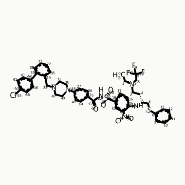 CCN(CC[C@H](CSc1ccccc1)Nc1ccc(S(=O)(=O)NC(=O)c2ccc(N3CCN(Cc4ccccc4-c4ccc(Cl)cc4)CC3)cc2)cc1[N+](=O)[O-])CC(F)(F)F